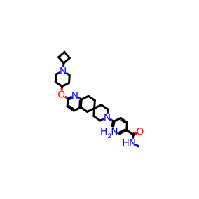 C=C(/C=C\C(=C/N)C(=O)NC)N1CCC2(CCc3nc(OC4CCN(C5CCC5)CC4)ccc3C2)CC1